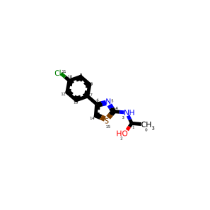 CC(O)Nc1nc(-c2ccc(Cl)cc2)cs1